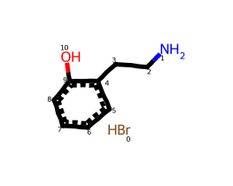 Br.NCCc1ccccc1O